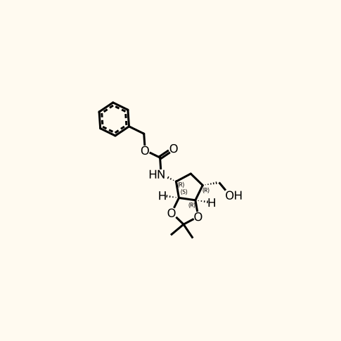 CC1(C)O[C@@H]2[C@@H](CO)C[C@@H](NC(=O)OCc3ccccc3)[C@@H]2O1